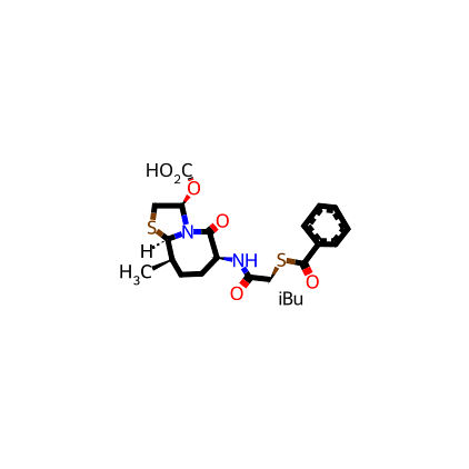 CC[C@H](C)[C@H](SC(=O)c1ccccc1)C(=O)N[C@H]1CC[C@@H](C)[C@H]2SC[C@@H](OC(=O)O)N2C1=O